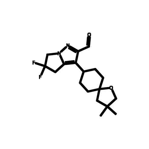 CC1(C)COC2(CCC(c3c(C=O)nn4c3CC(F)(F)C4)CC2)C1